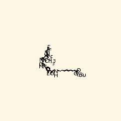 CCc1cc(NCC(=O)c2ncc(-c3cn(CC(F)F)nc3C(F)(F)F)n2C)ccc1C(=O)CNCCCCCCCCCC(=O)OC(C)(C)C